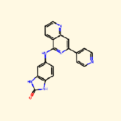 O=c1[nH]c2ccc(Nc3nc(-c4ccncc4)cc4ncccc34)cc2[nH]1